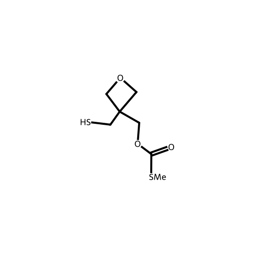 CSC(=O)OCC1(CS)COC1